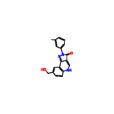 Cc1cccc(-n2nc3c4cc(CO)ccc4[nH]cc-3c2=O)c1